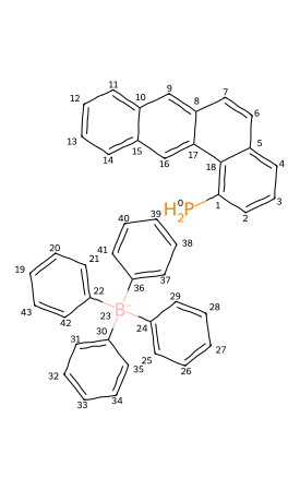 Pc1cccc2ccc3cc4ccccc4cc3c12.c1ccc([B-](c2ccccc2)(c2ccccc2)c2ccccc2)cc1